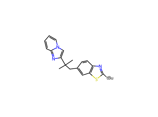 CC(C)(C)c1nc2ccc(CC(C)(C)c3cn4ccccc4n3)cc2s1